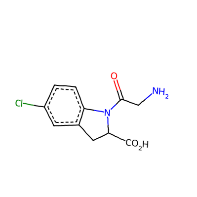 NCC(=O)N1c2ccc(Cl)cc2CC1C(=O)O